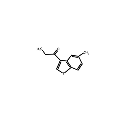 CCC(=O)c1csc2ccc(C)cc12